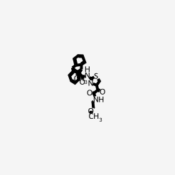 COCCNC(=O)C(=O)C1CSC(NC(=O)C2(C)CC3c4ccccc4C2c2ccccc23)=N1